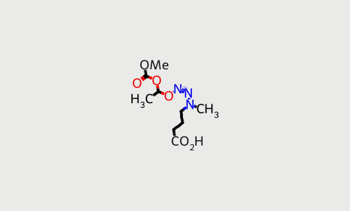 COC(=O)OC(C)O/N=N\N(C)CCCC(=O)O